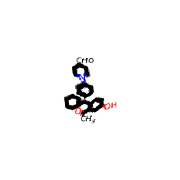 C[C@@H]1OC2(CCCCC2)[C@H](c2ccc(N3CCC(C=O)CC3)cc2)c2ccc(O)cc21